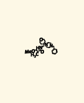 COCC(C)C(=O)NCC1(N2CCN(Cc3ccccc3)CC2)CCOCC1